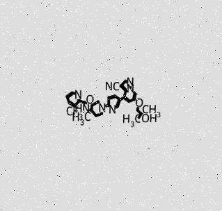 CC(C)(O)COc1cc(-c2ccc(N3CCC(C)(NC(=O)c4ncccc4C(F)(F)F)CC3)nc2)c2c(C#N)cnn2c1